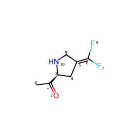 CC(=O)[C@@H]1CC(=C(F)F)CN1